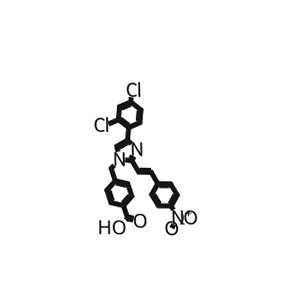 O=C(O)c1ccc(Cn2cc(-c3ccc(Cl)cc3Cl)nc2C=Cc2ccc([N+](=O)[O-])cc2)cc1